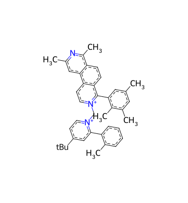 Cc1cc(C)c(C)c(-c2c3ccc4c(C)nc(C)cc4c3cc[n+]2C[n+]2ccc(C(C)(C)C)cc2-c2ccccc2C)c1